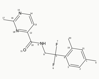 Cc1ccc(C(F)(F)CNC(=O)c2ccnc(C)n2)c(C)c1